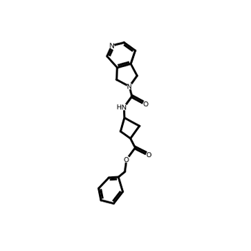 O=C(OCc1ccccc1)C1CC(NC(=O)N2Cc3ccncc3C2)C1